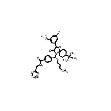 CCCCC[C@H](c1ccc(C(=O)NCc2nn[nH]n2)cc1)N1C(=O)C(c2cc(Cl)cc(OC)c2)=NC12CCC(C(C)(C)C)CC2